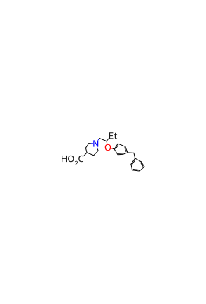 CCC(CN1CCC(C(=O)O)CC1)Oc1ccc(Cc2ccccc2)cc1